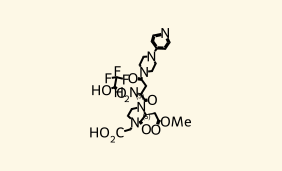 COC(=O)C[C@H]1C(=O)N(CC(=O)O)CCN1C(=O)[C@@H](N)CC(=O)N1CCN(c2ccncc2)CC1.O=C(O)C(F)(F)F